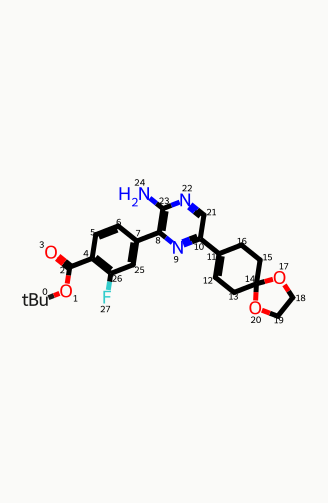 CC(C)(C)OC(=O)c1ccc(-c2nc(C3=CCC4(CC3)OCCO4)cnc2N)cc1F